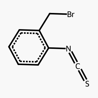 S=C=Nc1ccccc1CBr